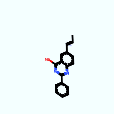 C/C=C/c1ccc2nc(-c3ccccc3)nc(O)c2c1